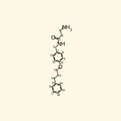 NCCC(=O)NCc1ccc(OCCCc2ccccc2)cc1